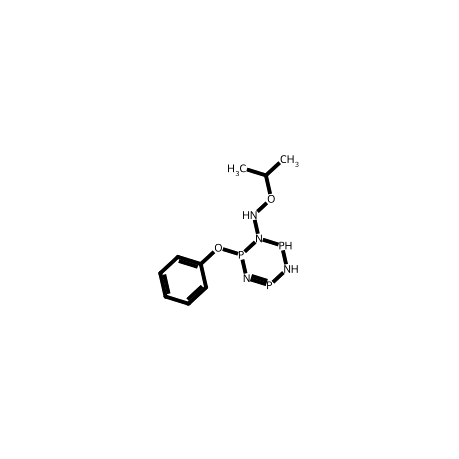 CC(C)ONn1[pH][nH]pnp1Oc1ccccc1